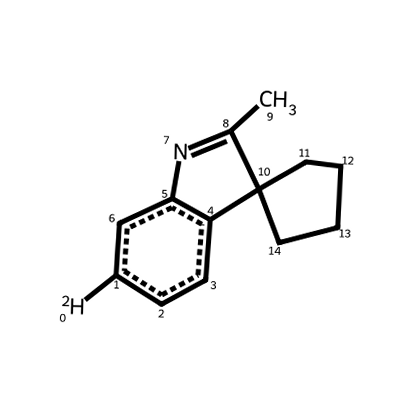 [2H]c1ccc2c(c1)N=C(C)C21CCCC1